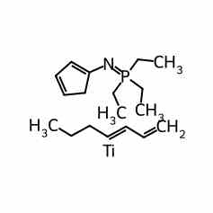 C=CC=CCCC.CCP(CC)(CC)=NC1=CC=CC1.[Ti]